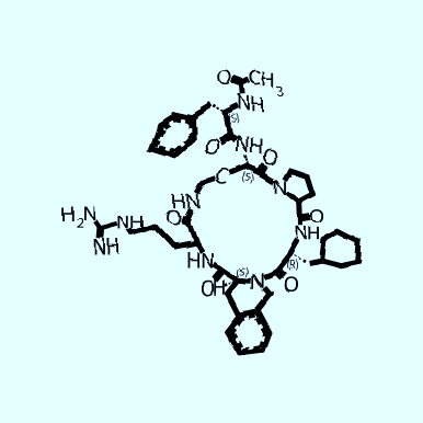 CC(=O)N[C@@H](Cc1ccccc1)C(=O)N[C@H]1CCNC(=O)C(CCCNC(=N)N)NC(=O)[C@@H]2Cc3ccccc3CN2C(=O)[C@@H](CC2CCCCC2)NC(=O)C2CCCN2C1=O